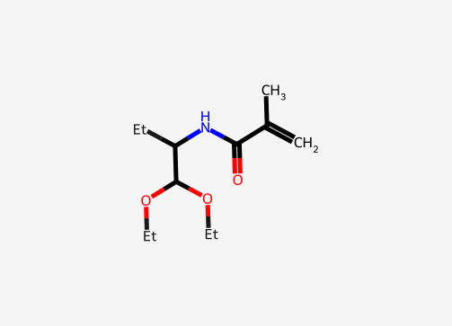 C=C(C)C(=O)NC(CC)C(OCC)OCC